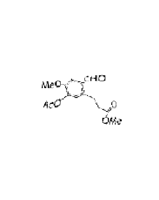 COC(=O)CCc1cc(OC(C)=O)c(OC)cc1C=O